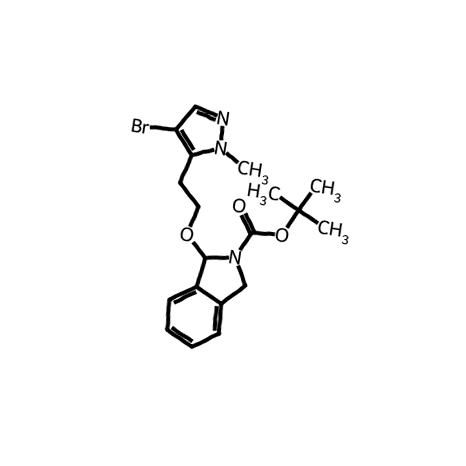 Cn1ncc(Br)c1CCOC1c2ccccc2CN1C(=O)OC(C)(C)C